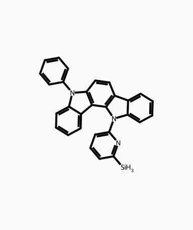 [SiH3]c1cccc(-n2c3ccccc3c3ccc4c(c5ccccc5n4-c4ccccc4)c32)n1